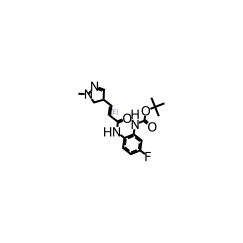 CN1CC(/C=C/C(=O)Nc2ccc(F)cc2NC(=O)OC(C)(C)C)C=N1